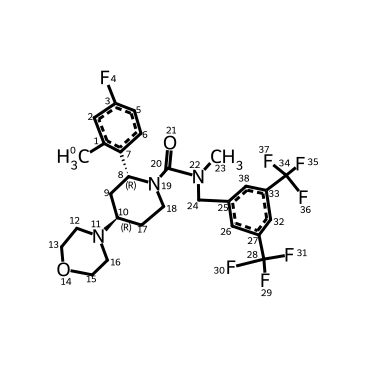 Cc1cc(F)ccc1[C@H]1C[C@H](N2CCOCC2)CCN1C(=O)N(C)Cc1cc(C(F)(F)F)cc(C(F)(F)F)c1